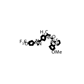 COc1ccc(C(C)C)c(N2CCCS/C2=N\C(=O)NCC(C)c2ccc(-c3ncn(-c4ccc(OC(F)(F)F)cc4)n3)cc2)c1